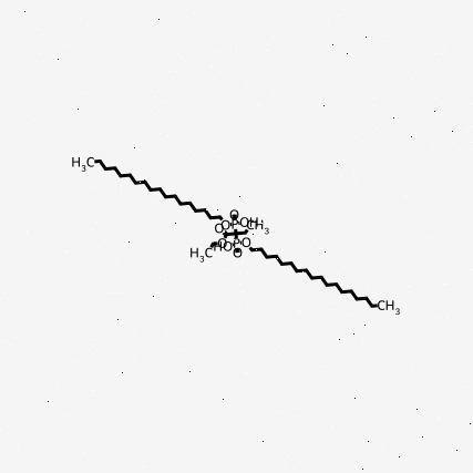 CCCCCCCCCCCCCCCCCCOP(=O)(O)C(CC)(C(=O)OCC)P(=O)(O)OCCCCCCCCCCCCCCCCCC